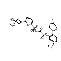 Cc1ccc(C2CCC(F)CC2)c(OC2(C(=O)NS(=O)(=O)c3cccc(N4CC(C)(O)C4)n3)CC2)c1